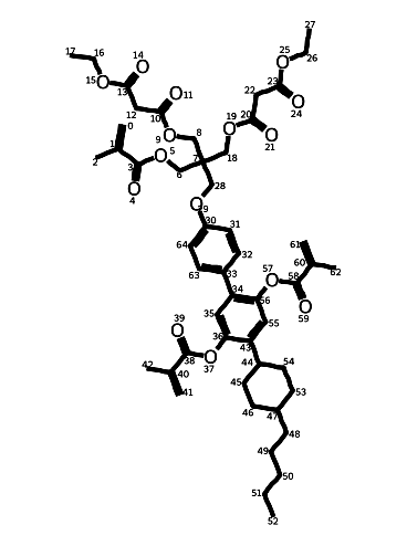 C=C(C)C(=O)OCC(COC(=O)CC(=O)OCC)(COC(=O)CC(=O)OCC)COc1ccc(-c2cc(OC(=O)C(=C)C)c(C3CCC(CCCCC)CC3)cc2OC(=O)C(=C)C)cc1